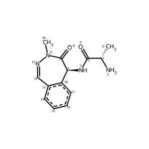 C[C@H](N)C(=O)N[C@@H]1C(=O)N(C)N=Cc2ccccc21